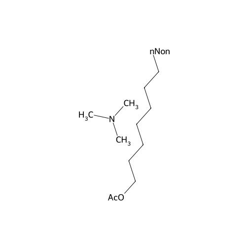 CCCCCCCCCCCCCCCCOC(C)=O.CN(C)C